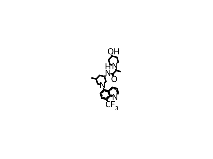 CC1CC(NC(=O)C(C)N2CCC(O)CC2)CN(c2ccc(C(F)(F)F)c3ncccc23)C1